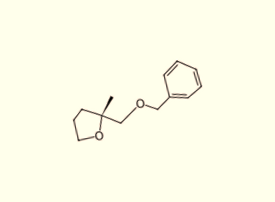 C[C@]1(COCc2ccccc2)CCCO1